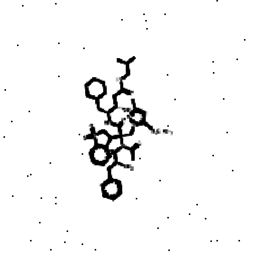 CC(=O)N(C(=O)[C@@H](N)Cc1ccccc1)[C@@](Cn1nc(C)cc1C)(C(=O)N[C@@H](CC1CCCCC1)[C@@H](O)CC(=O)NCC(C)C)C1CS(=O)(=O)c2ccccc21.O.O